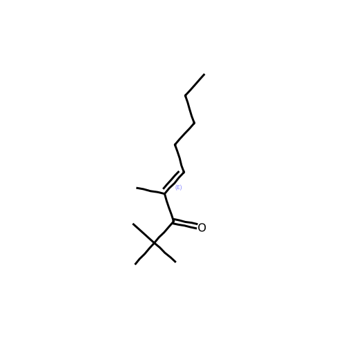 CCCC/C=C(\C)C(=O)C(C)(C)C